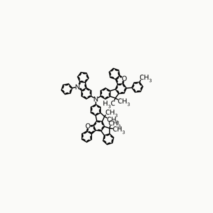 Cc1cccc(-c2cc3c(c4c2oc2ccccc24)-c2ccc(N(c4ccc5c(c4)C(C)(C)c4c6c(c7c(oc8ccccc87)c4-5)-c4ccccc4C6(C)C)c4ccc5c(c4)c4ccccc4n5-c4ccccc4)cc2C3(C)C)c1